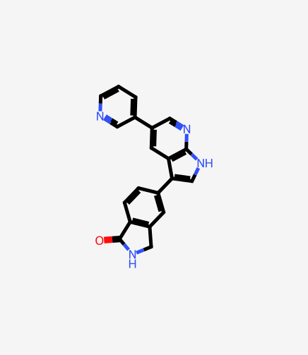 O=C1NCc2cc(-c3c[nH]c4ncc(-c5cccnc5)cc34)ccc21